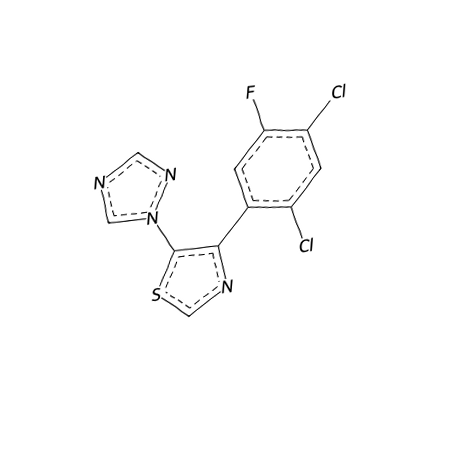 Fc1cc(-c2ncsc2-n2cncn2)c(Cl)cc1Cl